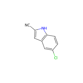 N#Cc1cc2cc(Cl)ccc2[nH]1